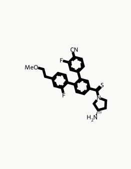 COCCc1ccc(-c2ccc(C(=S)N3CC[C@H](N)C3)cc2-c2ccc(C#N)c(F)c2)c(F)c1